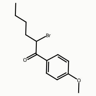 CCCCC(Br)C(=O)c1ccc(OC)cc1